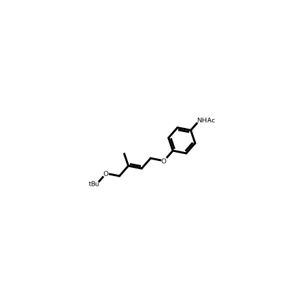 CC(=O)Nc1ccc(OC/C=C(\C)COC(C)(C)C)cc1